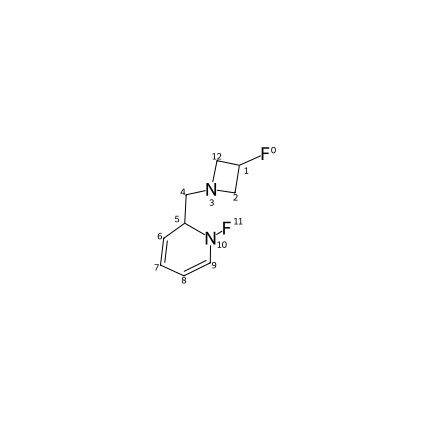 FC1CN(CC2C=CC=CN2F)C1